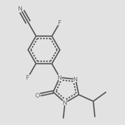 CC(C)c1nn(-c2cc(F)c(C#N)cc2F)c(=O)n1C